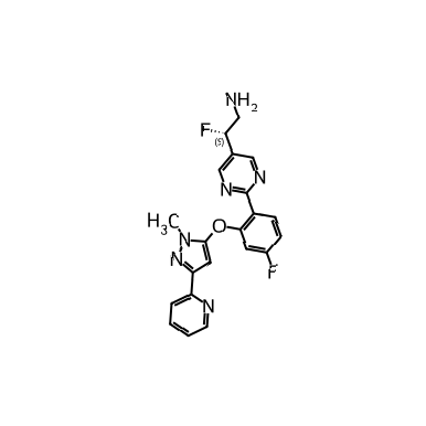 Cn1nc(-c2ccccn2)cc1Oc1cc(F)ccc1-c1ncc([C@H](F)CN)cn1